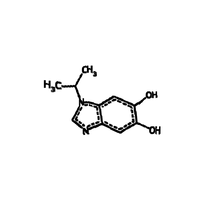 CC(C)n1cnc2cc(O)c(O)cc21